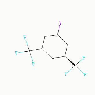 FC(F)(F)C1CC(I)C[C@@H](C(F)(F)F)C1